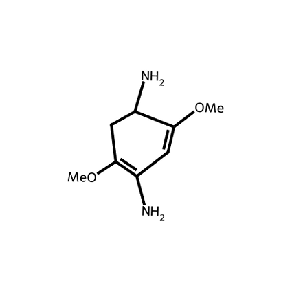 COC1=CC(N)=C(OC)CC1N